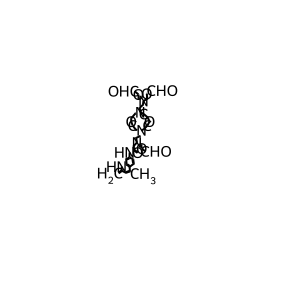 C=C1C=C(C)c2ccc(NC(=O)CN(CCN3CCOCCN(CCN(COC=O)COC=O)CCOCC3)COC=O)cc2N1